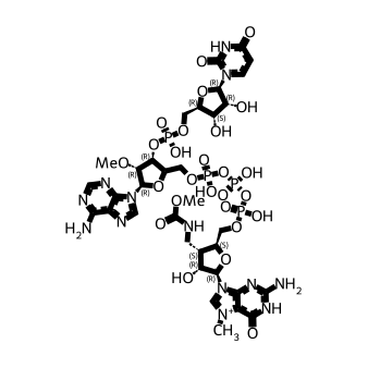 COC(=O)NC[C@H]1[C@@H](O)[C@H](n2c[n+](C)c3c(=O)[nH]c(N)nc32)O[C@@H]1COP(=O)(O)OP(=O)(O)OP(=O)(O)OCC1O[C@@H](n2cnc3c(N)ncnc32)[C@H](OC)[C@@H]1OP(=O)(O)OC[C@H]1O[C@@H](n2ccc(=O)[nH]c2=O)[C@H](O)[C@@H]1O